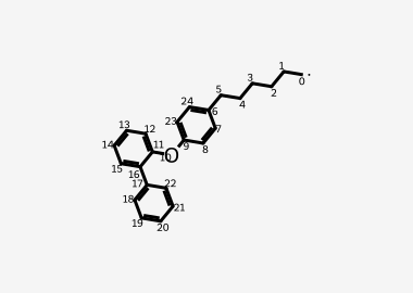 [CH2]CCCCCc1ccc(Oc2ccccc2-c2ccccc2)cc1